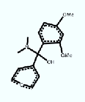 COc1ccc(C(O)(c2ccccc2)N(C)C)c(OC)c1